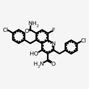 NC(=O)c1cc(F)c2nc(Cc3ccc(Cl)cc3)c(C(N)=O)c(O)c2c1Cc1ccc(Cl)cc1